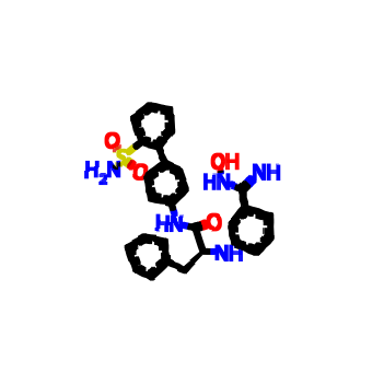 N=C(NO)c1cccc(N[C@@H](Cc2ccccc2)C(=O)Nc2ccc(-c3ccccc3S(N)(=O)=O)cc2)c1